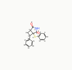 O=C1NC(=O)C2(Sc3ccccc3)C1CC2c1ccccc1